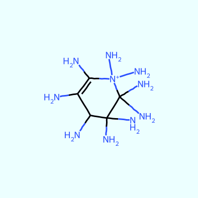 NC1=C(N)[N+](N)(N)C(N)(N)C(N)(N)C1N